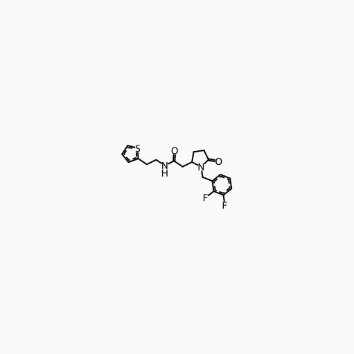 O=C(CC1CCC(=O)N1Cc1cccc(F)c1F)NCCc1cccs1